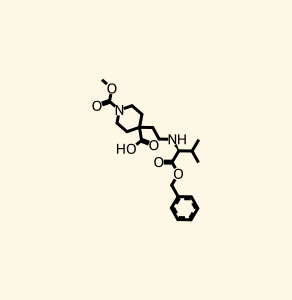 COC(=O)N1CCC(CCN[C@H](C(=O)OCc2ccccc2)C(C)C)(C(=O)O)CC1